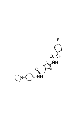 O=C(Cc1cnc(NC(=O)Nc2ccc(F)cc2)s1)Nc1ccc(N2CCCC2)cc1